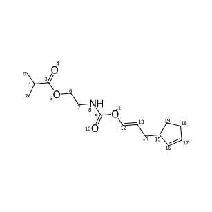 CC(C)C(=O)OCCNC(=O)OC=CCC1C=CCC1